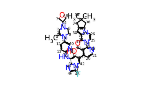 C[C@H]1CN(C2COC2)CCN1c1ccc(Nc2cc(-c3ccnc(-n4ccn5c6c(cc5c4=O)CC(C)(C)C6)c3CO)cn3c(F)cnc23)nc1